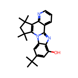 CC(C)(C)c1cc(O)c2nc3c4cccnc4c4c(n3c2c1)C(C)(C)CC4(C)C